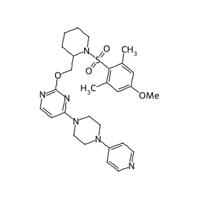 COc1cc(C)c(S(=O)(=O)N2CCCCC2COc2nccc(N3CCN(c4ccncc4)CC3)n2)c(C)c1